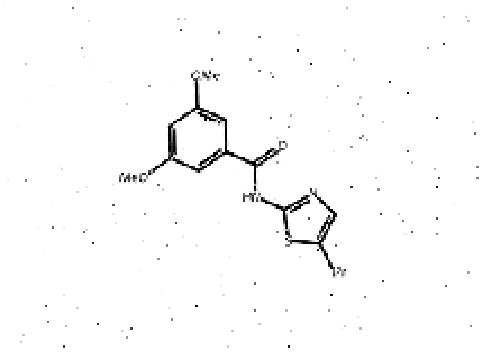 COc1cc(OC)cc(C(=O)Nc2ncc(C(C)C)s2)c1